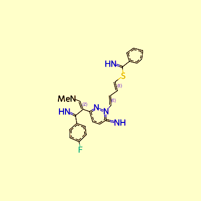 CN/C=C(\C(=N)c1ccc(F)cc1)c1ccc(=N)n(/C=C/C=C/SC(=N)c2ccccc2)n1